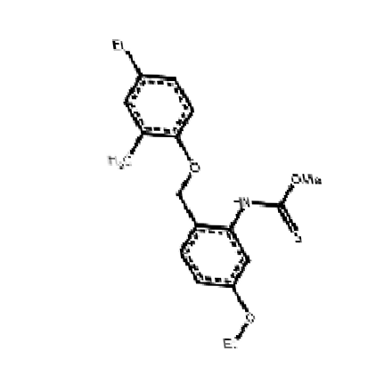 CCOc1ccc(COc2ccc(CC)cc2C)c(NC(=S)OC)c1